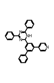 c1ccc(C2=NC(c3cc(-c4ccccc4)cc(-c4ccncc4)c3)NC(c3ccccc3)=N2)cc1